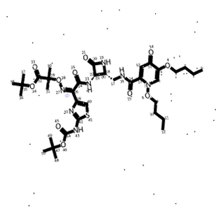 CCCCOc1cn(OCCCC)c(C(=O)NC[C@H]2NC(=O)[C@H]2NC(=O)/C(=N\OC(C)(C)C(=O)OC(C)(C)C)c2csc(NC(=O)OC(C)(C)C)n2)cc1=O